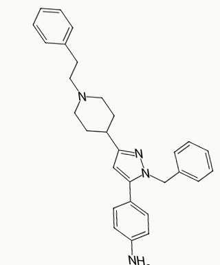 Nc1ccc(-c2cc(C3CCN(CCc4ccccc4)CC3)nn2Cc2ccccc2)cc1